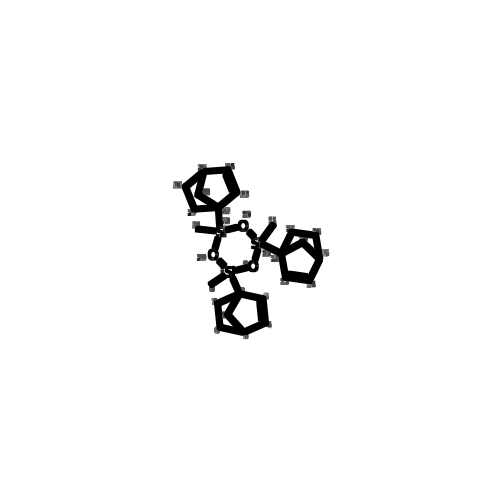 C[Si]1(C23C=CC(CC2)C3)O[Si](C)(C23C=CC(CC2)C3)O[Si](C)(C23C=CC(CC2)C3)O1